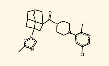 Cc1ncn(C23CC4CC5CC(C(=O)N6CCN(c7cc(Cl)ccc7C)CC6)(C2)C43C5)n1